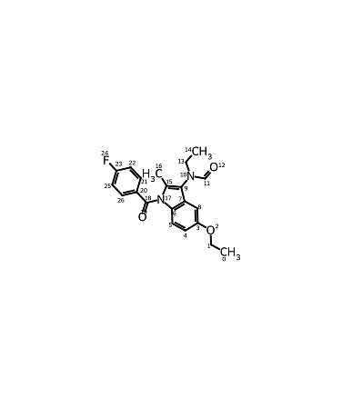 CCOc1ccc2c(c1)c(N(C=O)CC)c(C)n2C(=O)c1ccc(F)cc1